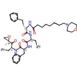 CC(C)C[C@H](NC(=O)[C@H](CCc1ccccc1)NC(=O)CCCCCCCN1CCOCC1)C(=O)N[C@@H](Cc1ccccc1)C(=O)N[C@@H](CC(C)C)C(=O)[C@@]1(C)CO1